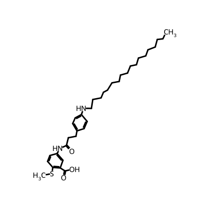 CCCCCCCCCCCCCCCCCCNc1ccc(CCC(=O)Nc2ccc(SC)c(C(=O)O)c2)cc1